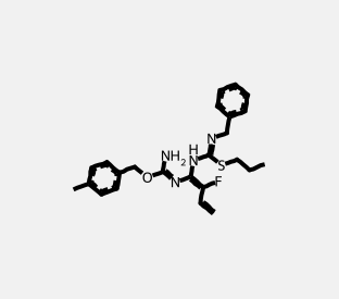 C=C/C(F)=C(\N=C(/N)OCc1ccc(C)cc1)N/C(=N/Cc1ccccc1)SCCC